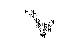 CN1CCN(CC(=O)Nc2cc(C(=O)Nc3ccc(-c4ccc(N)nc4)nn3)ccc2OC(F)(F)F)CC1